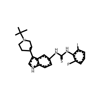 CC(C)(C)N1CC=C(c2c[nH]c3ccc(NC(=S)Nc4c(F)cccc4I)cc23)CC1